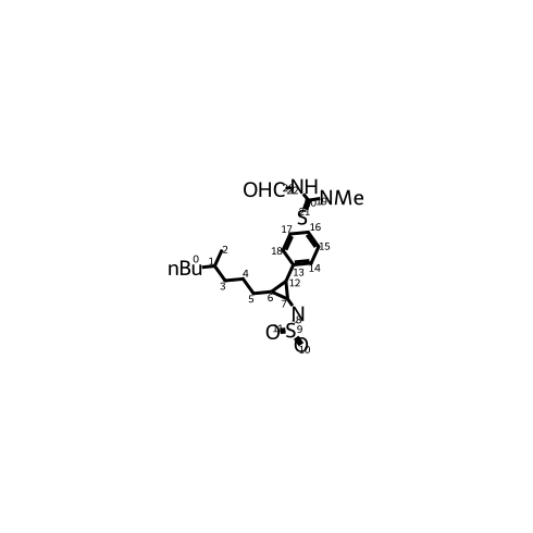 CCCCC(C)CCCC1C(N=S(=O)=O)C1c1ccccc1.CNC(=S)NC=O